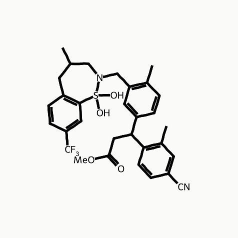 COC(=O)CC(c1ccc(C)c(CN2CC(C)Cc3ccc(C(F)(F)F)cc3S2(O)O)c1)c1ccc(C#N)cc1C